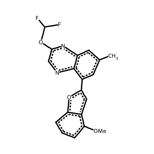 COc1cccc2oc(-c3cc(C)cc4nc(OC(F)F)cnc34)cc12